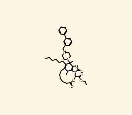 CCCCCCC1=C2CCCCCC(=O)OC(C(=O)OCC)n3c(c(oc3=O)C1(C)N1CCN(Cc3cccc(-c4ccccc4)c3)CC1)C2C